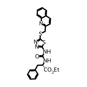 CCOC(=O)[C@H](Cc1ccccc1)NC(=O)Nc1nnc(SCc2ccc3ccccc3n2)s1